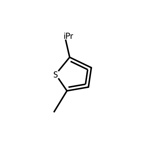 CC1=C=C=C(C(C)C)S1